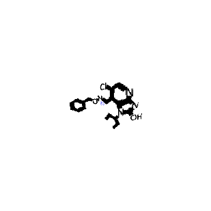 CCC(CC)n1c(O)nc2ncc(Cl)c(/C=N/OCc3ccccc3)c21